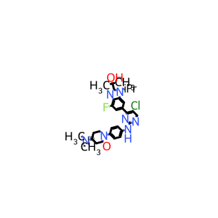 CC(C)n1c(C(C)(C)O)nc2c(F)cc(-c3nc(Nc4ccc(N5CC[C@H](N(C)C)CC5=O)cc4)ncc3Cl)cc21